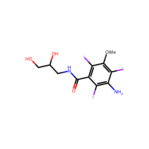 COc1c(I)c(N)c(I)c(C(=O)NCC(O)CO)c1I